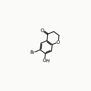 O=C1CCOc2cc(O)c(Br)cc21